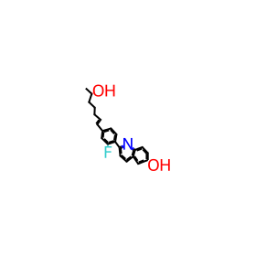 CC(O)CCCC=Cc1ccc(-c2ccc3cc(O)ccc3n2)c(F)c1